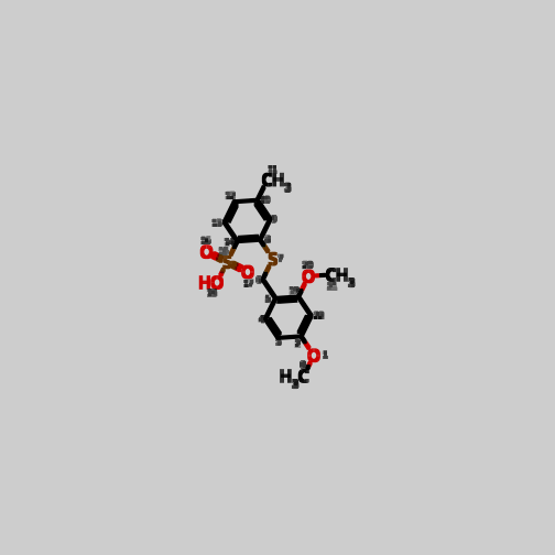 COc1ccc(CSc2cc(C)ccc2S(=O)(=O)O)c(OC)c1